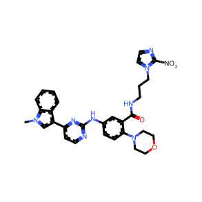 Cn1cc(-c2ccnc(Nc3ccc(N4CCOCC4)c(C(=O)NCCCn4ccnc4[N+](=O)[O-])c3)n2)c2ccccc21